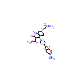 Cn1c(=O)c(C(N)=O)c(N2CCC(c3nc4cc(N)ccc4o3)CC2)c2ccc(OCC(N)=O)cc21